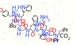 CC[C@H](C)[C@H](NC(=O)[C@H](Cc1c[nH]c2ccccc12)NC(=O)[C@@H](N)Cc1ccc(O)cc1)C(=O)N[C@@H](C)C(=O)N[C@@H](Cc1c[nH]c2ccccc12)C(=O)N[C@@H](Cc1ccc(O)cc1)C(=O)N[C@@H](CCCCN)C(=O)N[C@@H](CC(C)C)C(=O)N[C@@H](CC(C)C)C(=O)O